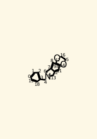 c1ccc(CN2Cc3cc4c(cc3C2)OCCO4)cc1